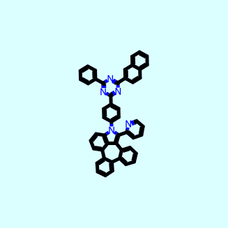 c1ccc(-c2nc(-c3ccc(-n4c(-c5ccccn5)c5c6c(cccc64)-c4ccccc4-c4ccccc4-5)cc3)nc(-c3ccc4ccccc4c3)n2)cc1